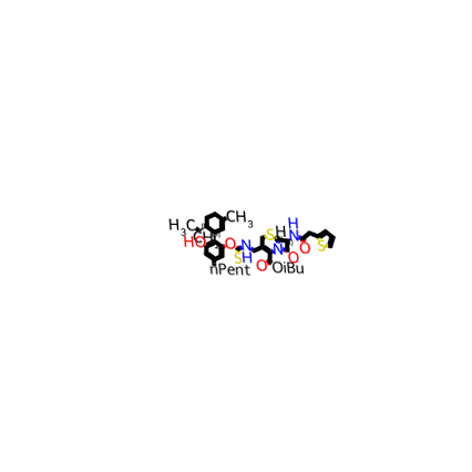 C=C(C)[C@@H]1CCC(C)=C[C@H]1c1c(O)cc(CCCCC)cc1OC(=S)NCC1=C(C(=O)OCC(C)C)N2C(=O)[C@@H](NC(=O)Cc3cccs3)[C@H]2SC1